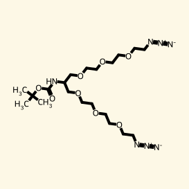 CC(C)(C)OC(=O)NC(COCCOCCOCCN=[N+]=[N-])COCCOCCOCCN=[N+]=[N-]